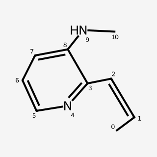 C/C=C\c1ncccc1NC